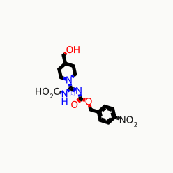 O=C(O)N/C(=N\C(=O)OCc1ccc([N+](=O)[O-])cc1)N1CCC(CO)CC1